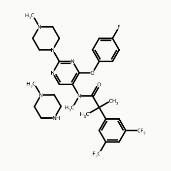 CN1CCN(c2ncc(N(C)C(=O)C(C)(C)c3cc(C(F)(F)F)cc(C(F)(F)F)c3)c(Oc3ccc(F)cc3)n2)CC1.CN1CCNCC1